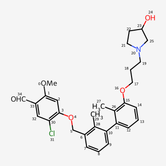 COc1cc(OCc2cccc(-c3cccc(OCCCN4CCC(O)C4)c3C)c2C)c(Cl)cc1C=O